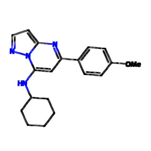 COc1ccc(-c2cc(NC3CCCCC3)n3nccc3n2)cc1